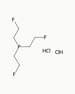 Cl.Cl.FCCP(CCF)CCF